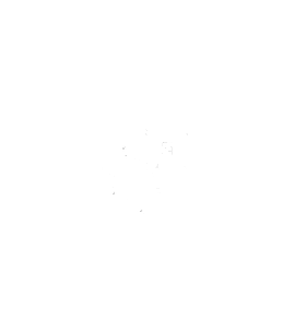 C[Si](C)(C)c1[c][c]ccc1